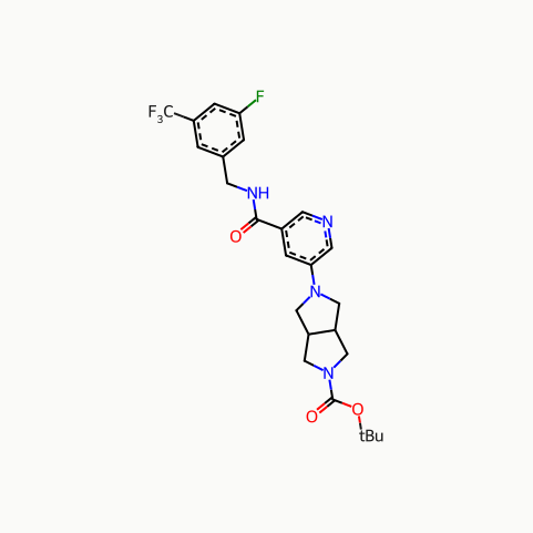 CC(C)(C)OC(=O)N1CC2CN(c3cncc(C(=O)NCc4cc(F)cc(C(F)(F)F)c4)c3)CC2C1